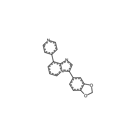 c1cc(-c2ccncc2)c2ncc(-c3ccc4c(c3)OCO4)n2c1